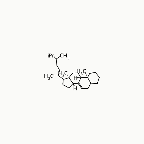 CC(C)C(C)CC[C@@H](C)[C@H]1CC[C@H]2C3=CCC4CCCC[C@]4(C)[C@H]3CC[C@]12C